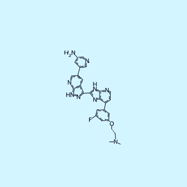 CN(C)CCOc1cc(F)cc(-c2ccnc3[nH]c(-c4n[nH]c5ncc(-c6cncc(N)c6)cc45)nc23)c1